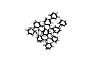 c1ccc(-c2ccc3c(c2)B2c4cc(-c5ccccc5)ccc4N4c5ccccc5B5c6c7c8c(c2c64)N3c2ccccc2B8N(c2ccccc2)c2cccc(c2-7)N5c2ccccc2)cc1